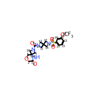 O=C1COCC2(CN(C(=O)N3CC4(C3)CN(S(=O)(=O)c3cccc(OC(F)(F)F)c3)C4)C2)N1